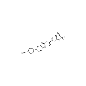 N#Cc1ccc(C2C=Cc3sc(CC(=O)NCC(=O)NC4(C#N)CC4)nc3C2)cc1